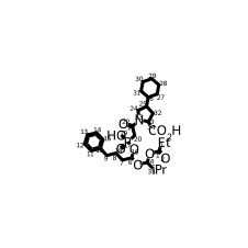 CCC(=O)OC(OC(CCCc1ccccc1)OP(=O)(O)CC(=O)N1CC(C2CCCCC2)CC1C(=O)O)C(C)C